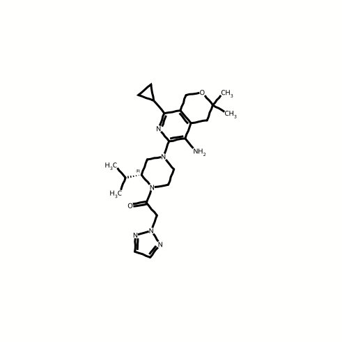 CC(C)[C@@H]1CN(c2nc(C3CC3)c3c(c2N)CC(C)(C)OC3)CCN1C(=O)Cn1nccn1